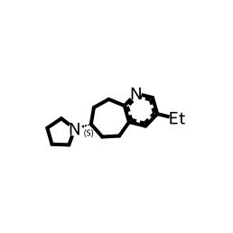 CCc1cnc2c(c1)CC[C@H](N1CCCC1)CC2